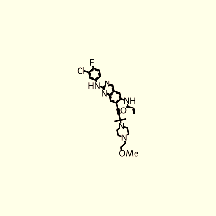 C=CC(=O)Nc1cc2cnc(Nc3ccc(F)c(Cl)c3)nc2cc1C#CC(C)(C)N1CCN(CCOC)CC1